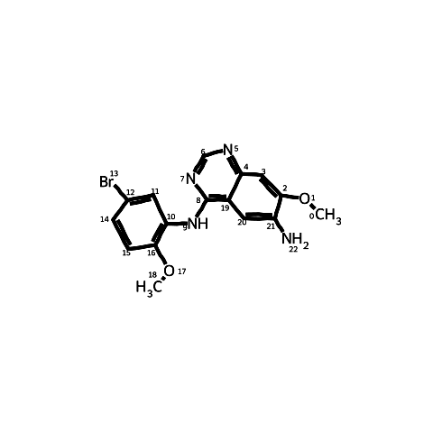 COc1cc2ncnc(Nc3cc(Br)ccc3OC)c2cc1N